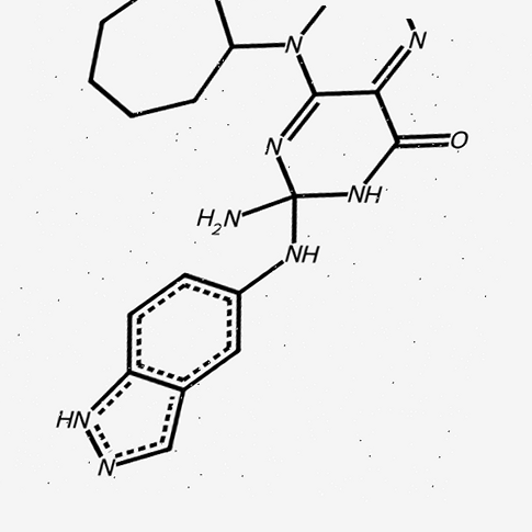 NC1(Nc2ccc3[nH]ncc3c2)N=C2C(=NC=CN2C2CCCCCC2)C(=O)N1